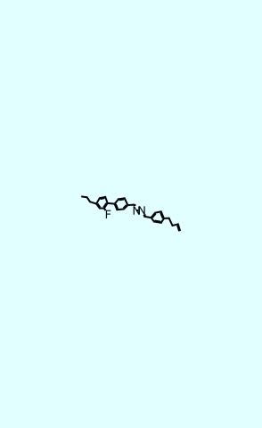 C=CCCc1ccc(C=NN=Cc2ccc(-c3ccc(CCC)cc3F)cc2)cc1